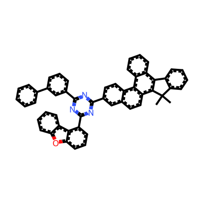 CC1(C)c2ccccc2-c2c1c1ccc3cc(-c4nc(-c5cccc(-c6ccccc6)c5)nc(-c5cccc6oc7ccccc7c56)n4)ccc3c1c1ccccc21